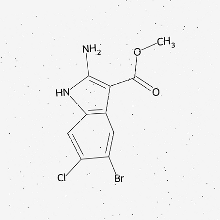 COC(=O)c1c(N)[nH]c2cc(Cl)c(Br)cc12